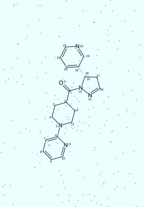 O=C(C1CCN(c2ccccn2)CC1)N1N=CC[C@H]1c1cccnc1